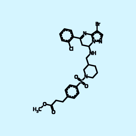 COC(=O)CCc1ccc(S(=O)(=O)N2CCCC(CNC3CC(c4ccccc4Cl)=Nc4c(Br)cnn43)C2)cc1